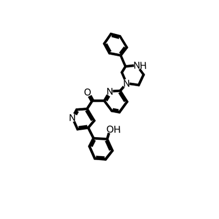 O=C(c1cncc(-c2ccccc2O)c1)c1cccc(N2CCNC(c3ccccc3)C2)n1